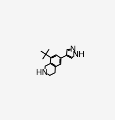 CC(C)(C)c1cc(-c2cn[nH]c2)cc2c1CNCC2